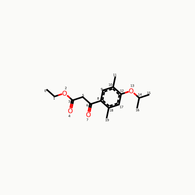 CCOC(=O)CC(=O)c1cc(C)c(OC(C)C)cc1C